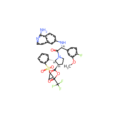 COc1cc([C@@H](Nc2ccc3c(N)nccc3c2)C(=O)N2CC[C@@H](C(=O)OC(=O)C(F)(F)F)[C@@H]2c2ccccc2S(=O)(=O)C2CC2)ccc1F